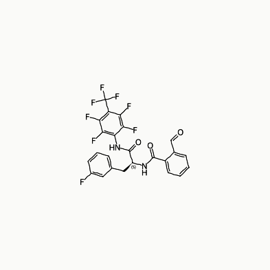 O=Cc1ccccc1C(=O)N[C@@H](Cc1cccc(F)c1)C(=O)Nc1c(F)c(F)c(C(F)(F)F)c(F)c1F